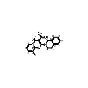 Cc1cccn2c(=O)c(C(=O)O)c(N3CCc4ccccc4C3)nc12